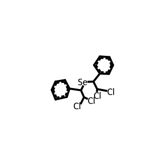 ClC(Cl)C([Se]C(c1ccccc1)C(Cl)Cl)c1ccccc1